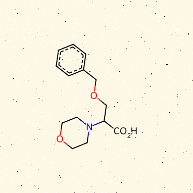 O=C(O)C(COCc1ccccc1)N1CCOCC1